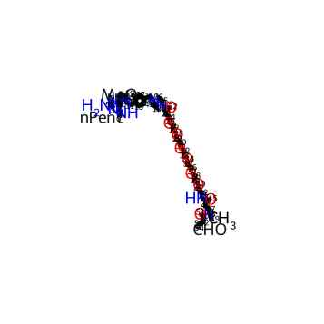 CCCCCNc1nc(N)nc2ccn(Cc3ccc(CN4CCN(C(=O)CCOCCOCCOCCOCCOCCOCCNC(=O)CCN(C)C(=O)CCC=O)CC4)cc3OC)c12